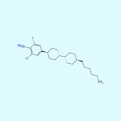 CCCCCC[C@H]1CC[C@H]([C@H]2CC[C@H](c3cc(F)c(C#N)c(Cl)c3)CC2)CC1